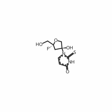 O=c1ccn([C@@]2(O)CO[C@](F)(CO)C2)c(=S)[nH]1